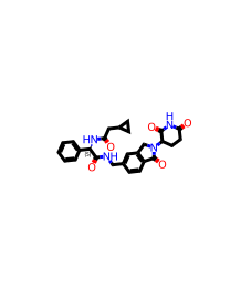 O=C1CCC(N2Cc3cc(CNC(=O)[C@@H](NC(=O)CC4CC4)c4ccccc4)ccc3C2=O)C(=O)N1